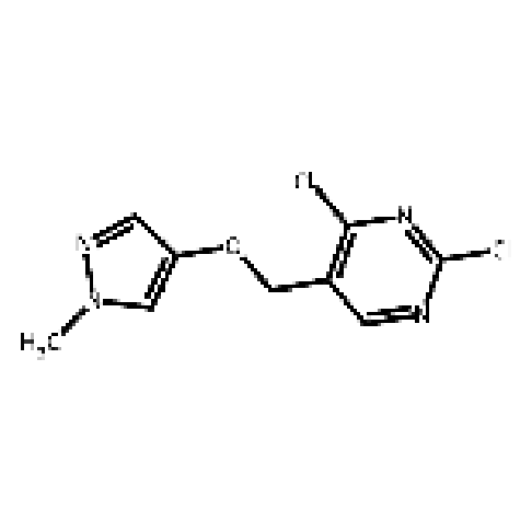 Cn1cc(OCc2cnc(Cl)nc2Cl)cn1